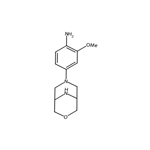 COc1cc(N2CC3COCC(C2)N3)ccc1N